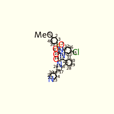 COc1ccc(S(=O)(=O)n2c(=O)n(C(C(=O)N3CCC(c4ccncc4)C3)c3ccccc3)c3cc(Cl)ccc32)cc1